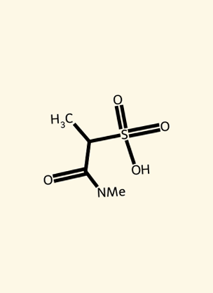 CNC(=O)C(C)S(=O)(=O)O